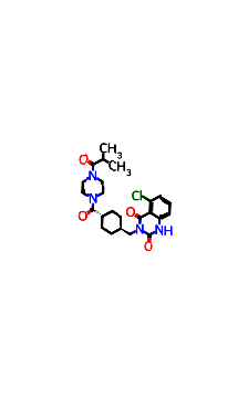 CC(C)C(=O)N1CCN(C(=O)[C@H]2CC[C@H](Cn3c(=O)[nH]c4cccc(Cl)c4c3=O)CC2)CC1